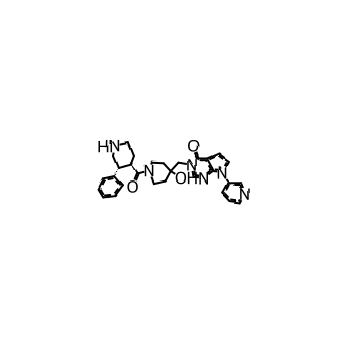 O=C([C@@H]1CCNC[C@H]1c1ccccc1)N1CCC(O)(Cn2cnc3c(ccn3-c3cccnc3)c2=O)CC1